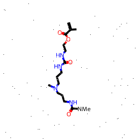 C=C(C)C(=O)OCCNC(=O)NCCCN(C)CCCNC(=O)NC